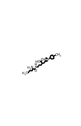 CCCCC(N)C(=O)NCCCC(Cc1cn(C2CCC(C)CC2)cn1)C(=O)O